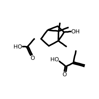 C=C(C)C(=O)O.CC(=O)O.CC1(C)C2CCC1(C)C(O)C2